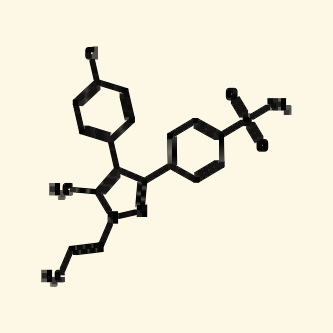 CC=Cn1nc(-c2ccc(S(N)(=O)=O)cc2)c(-c2ccc(Cl)cc2)c1C